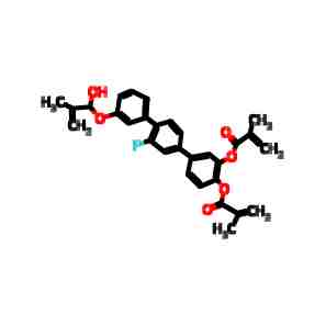 C=C(C)C(=O)Oc1ccc(-c2ccc(-c3cccc(OC(O)C(=C)C)c3)c(F)c2)cc1OC(=O)C(=C)C